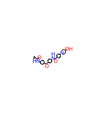 O=C(Nc1ccc(C(=O)c2ccc(NC(=O)C3CC3)cc2)cc1)c1ccc(N2CCC(O)CC2)cc1